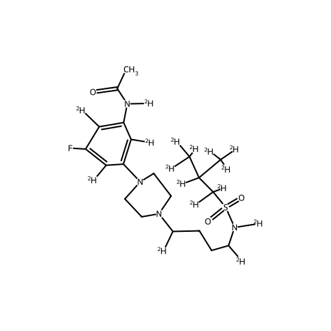 [2H]c1c(F)c([2H])c(N([2H])C(C)=O)c([2H])c1N1CCN(C([2H])CCC([2H])N([2H])S(=O)(=O)C([2H])([2H])C([2H])(C([2H])([2H])[2H])C([2H])([2H])[2H])CC1